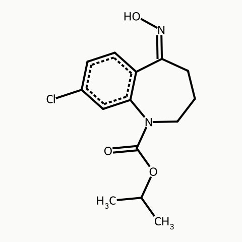 CC(C)OC(=O)N1CCC/C(=N/O)c2ccc(Cl)cc21